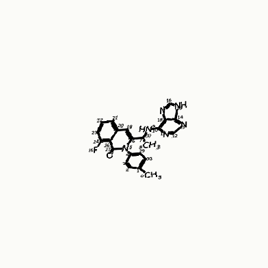 Cc1ccc(-n2c([C@H](C)Nc3ncnc4[nH]cnc34)cc3cccc(F)c3c2=O)cc1